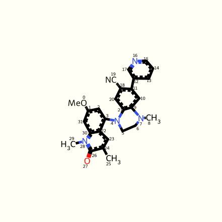 COc1cc(N2CCN(C)c3cc(-c4cccnc4)c(C#N)cc32)c2cc(C)c(=O)n(C)c2c1